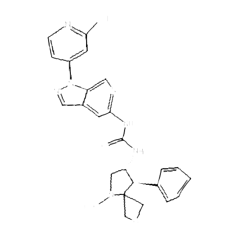 Cc1cc(-n2ncc3cc(NC(=O)N[C@H]4CN(C)C5(COC5)[C@@H]4c4ccccc4)ncc32)ccn1